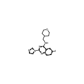 Ic1ccc2nc(-n3ccnc3)nc(NCC3CCOCC3)c2c1